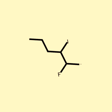 [CH2]C(F)C(I)CCC